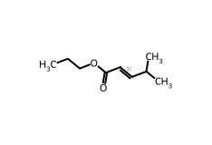 CCCOC(=O)/C=C/C(C)C